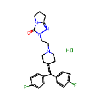 Cl.O=c1n(CCN2CCC(=C(c3ccc(F)cc3)c3ccc(F)cc3)CC2)nc2n1CCC2